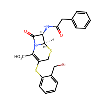 O=C(Cc1ccccc1)N[C@@H]1C(=O)N2C(C(=O)O)=C(Sc3ccccc3CBr)CS[C@H]12